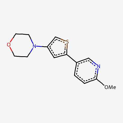 COc1ccc(-c2cc(N3CCOCC3)cs2)cn1